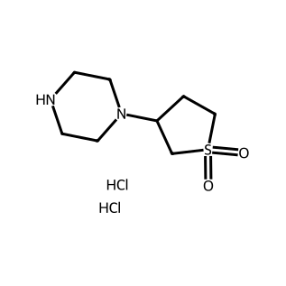 Cl.Cl.O=S1(=O)CCC(N2CCNCC2)C1